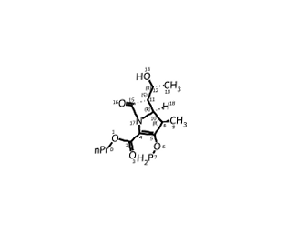 CCCOC(=O)C1=C(OP)[C@H](C)[C@@H]2[C@@H]([C@@H](C)O)C(=O)N12